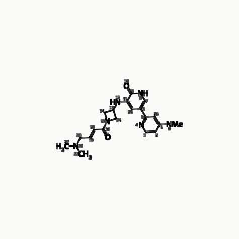 CNc1ccnc(-c2c[nH]c(=O)c(NC3CN(C(=O)/C=C/CN(C)C)C3)c2)c1